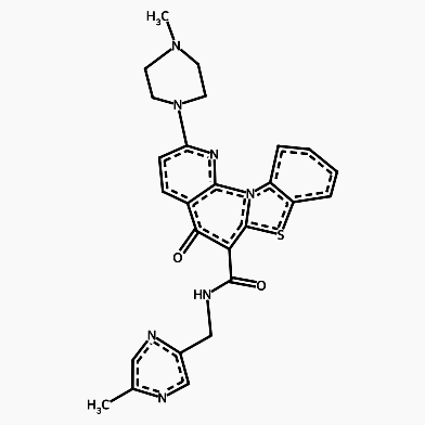 Cc1cnc(CNC(=O)c2c(=O)c3ccc(N4CCN(C)CC4)nc3n3c2sc2ccccc23)cn1